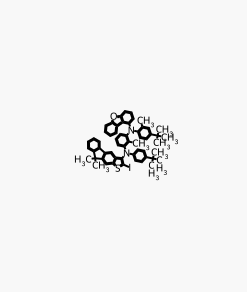 Cc1cc(C(C)(C)C)ccc1N(c1cccc(N(c2ccc(C(C)(C)C)cc2)c2c(I)sc3cc4c(cc23)-c2ccccc2C4(C)C)c1C)c1cccc2oc3ccccc3c12